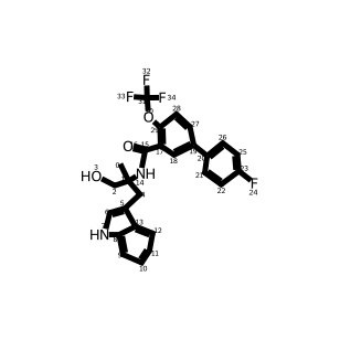 CC(CO)(Cc1c[nH]c2ccccc12)NC(=O)c1cc(-c2ccc(F)cc2)ccc1OC(F)(F)F